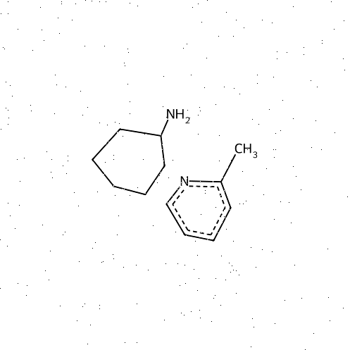 Cc1ccccn1.NC1CCCCC1